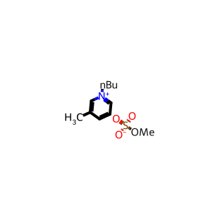 CCCC[n+]1cccc(C)c1.COS(=O)(=O)[O-]